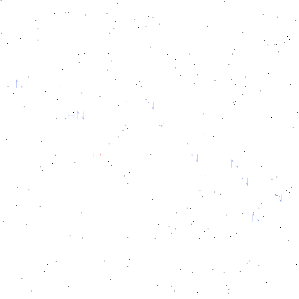 Cc1c(N2CCc3ncc(C(=O)NCc4cncs4)cc3C2)nn2cnnc2c1C